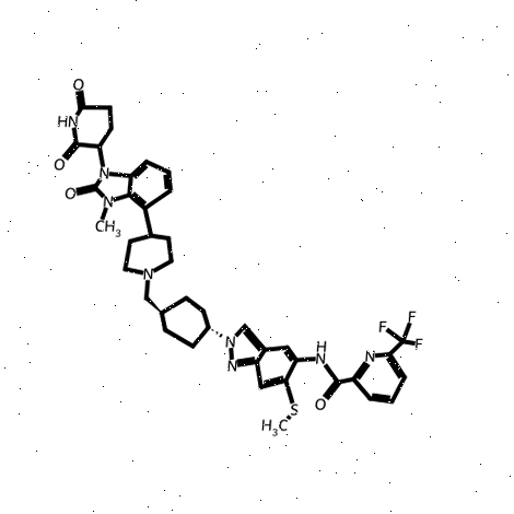 CSc1cc2nn([C@H]3CC[C@H](CN4CCC(c5cccc6c5n(C)c(=O)n6C5CCC(=O)NC5=O)CC4)CC3)cc2cc1NC(=O)c1cccc(C(F)(F)F)n1